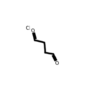 O=CCCC=O.[C]